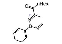 C=NB(/N=C(\C)C(=O)CCCCCC)C1=CCCC=C1